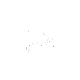 CN(C)CCOc1cc(Nc2cc(NC3CC3)c3ncc(C#N)n3n2)cc(-n2cnnc2)c1